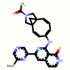 COc1cncc(-c2cc3cc[nH]c(=O)c3c(NC3=CC=CC45CN(C(=O)C(F)(F)F)CC4(C=C3)C5)n2)n1